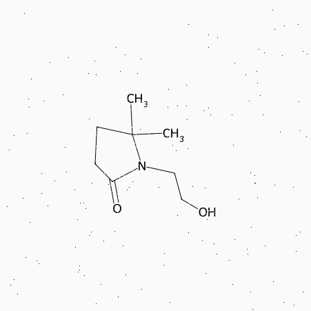 CC1(C)CCC(=O)N1CCO